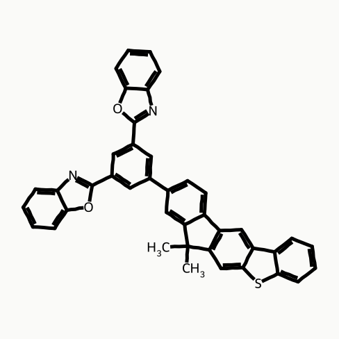 CC1(C)c2cc(-c3cc(-c4nc5ccccc5o4)cc(-c4nc5ccccc5o4)c3)ccc2-c2cc3c(cc21)sc1ccccc13